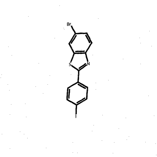 Brc1ccc2nc(-c3ccc(I)cc3)sc2c1